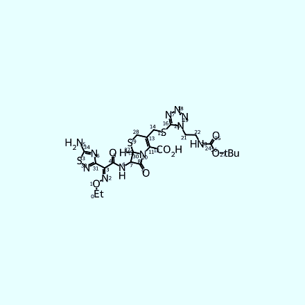 CCON=C(C(=O)NC1C(=O)N2C(C(=O)O)=C(CSc3nnnn3CCNC(=O)OC(C)(C)C)CS[C@@H]12)c1nsc(N)n1